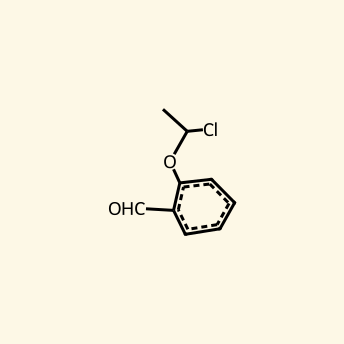 CC(Cl)Oc1ccccc1C=O